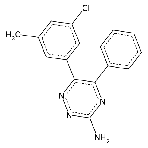 Cc1cc(Cl)cc(-c2nnc(N)nc2-c2ccccc2)c1